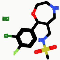 CS(=O)(=O)NCC1CNCCOC1c1ccc(F)c(Cl)c1.Cl